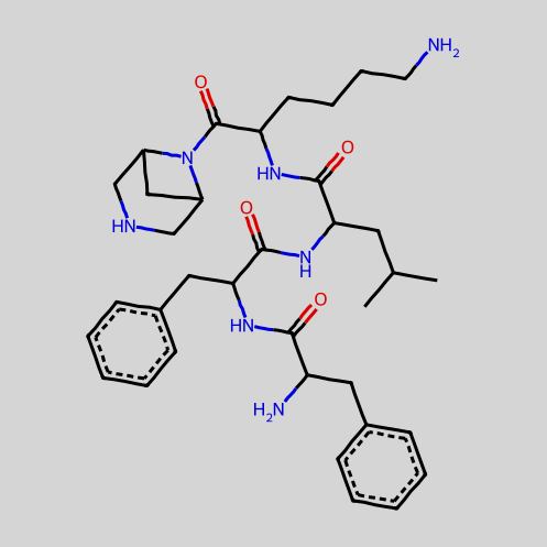 CC(C)CC(NC(=O)C(Cc1ccccc1)NC(=O)C(N)Cc1ccccc1)C(=O)NC(CCCCN)C(=O)N1C2CNCC1C2